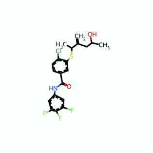 C=C(CC(C)O)C(C)Sc1cc(C(=O)Nc2cc(F)c(F)c(F)c2)ccc1Cl